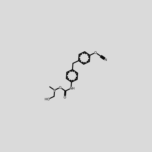 CN(CO)OC(=O)Nc1ccc(Cc2ccc(OC#N)cc2)cc1